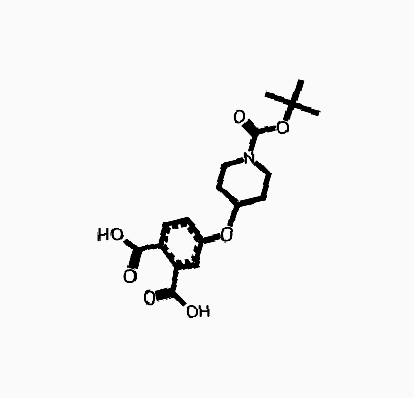 CC(C)(C)OC(=O)N1CCC(Oc2ccc(C(=O)O)c(C(=O)O)c2)CC1